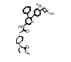 CCN(C(=O)OC)[C@H]1CC[C@H](CC(=O)Nc2cnc(-c3ccc([C@]4(N)C[C@](C)(O)C4)cc3)c(-c3ccccc3)c2)CC1